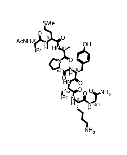 CSCC[C@H](NC(=O)[C@@H](NC(C)=O)C(C)C)C(=O)N[C@@H](C)C(=O)N1CCC[C@H]1C(=O)N[C@@H](Cc1ccc(O)cc1)C(=O)N[C@@H](CC(C)C)C(=O)N[C@@H](CCCCN)C(=O)N[C@@H](C)C(N)=O